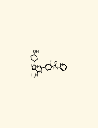 Nc1nc(-c2ccc(C(=O)Nc3ccccn3)c(F)c2)cn2c1cnc2[C@H]1CC[C@H](O)CC1